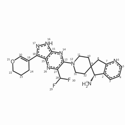 N[C@@H]1c2cccnc2CC12CCN(c1nc3[nH]nc(C4=COCCC4)c3nc1C(F)F)CC2